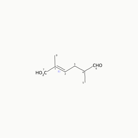 C/C(=C\CC(C)C=O)C(=O)O